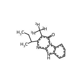 [2H]C([2H])([2H])c1c(C(C)CC)nc2[nH]c3ccccc3n2c1=O